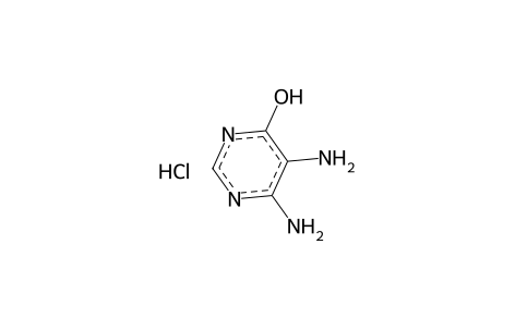 Cl.Nc1ncnc(O)c1N